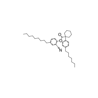 CCCCCCCCCc1ccc(OC(=O)C2(c3ccc(CCCCCCC)cc3)CCCCC2)c(C#N)c1